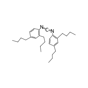 CCCCc1ccc(N=C=Nc2ccc(CCCC)cc2CCCC)c(CCCC)c1